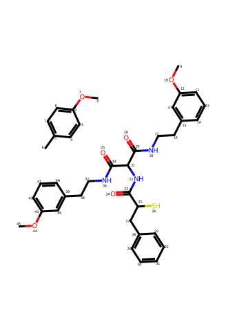 COc1ccc(C)cc1.COc1cccc(CCNC(=O)C(NC(=O)C(S)Cc2ccccc2)C(=O)NCCc2cccc(OC)c2)c1